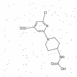 C#Cc1cc(Cl)nc(N2CCC(NC(=O)O)CC2)c1